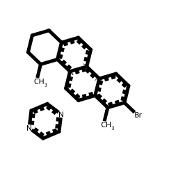 Cc1c(Br)ccc2c1ccc1c3c(ccc12)CCCC3C.c1cnccn1